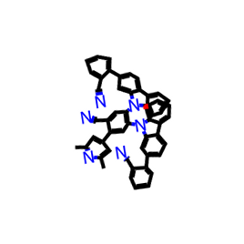 Cc1cc(-c2cc(-n3c4ccccc4c4ccc(-c5ccccc5C#N)cc43)c(-n3c4ccccc4c4ccc(-c5ccccc5C#N)cc43)cc2C#N)cc(C)n1